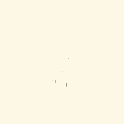 Cn1ccnc1SCC(=O)C1(c2ccc(Cl)cc2)CCC1